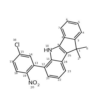 CC1(C)c2ccccc2-c2[nH]c3c(-c4cc(Cl)ccc4[N+](=O)[O-])cccc3c21